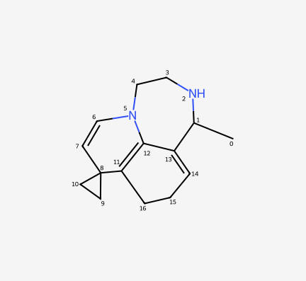 CC1NCCN2C=CC3(CC3)C3=C2C1=CCC3